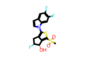 CS(=O)(=O)c1sc(-n2ccc3cc(F)c(F)cc32)c2c1[C@H](O)[C@@H](F)C2